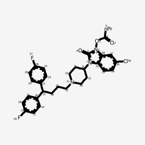 CCCC(=O)On1c(=O)n(C2CCN(CCCC(c3ccc(F)cc3)c3ccc(F)cc3)CC2)c2ccc(Cl)cc21